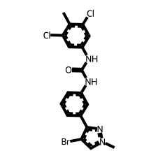 Cc1c(Cl)cc(NC(=O)Nc2cccc(-c3nn(C)cc3Br)c2)cc1Cl